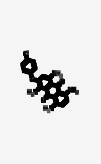 Nc1ccc(N)c2c1C(=O)c1c(N)cc(Oc3ccc(Cl)cc3)c(N)c1C2=O